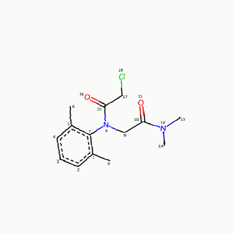 Cc1cccc(C)c1N(CC(=O)N(C)C)C(=O)CCl